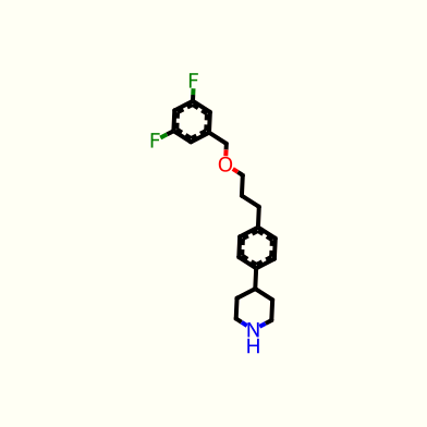 Fc1cc(F)cc(COCCCc2ccc(C3CCNCC3)cc2)c1